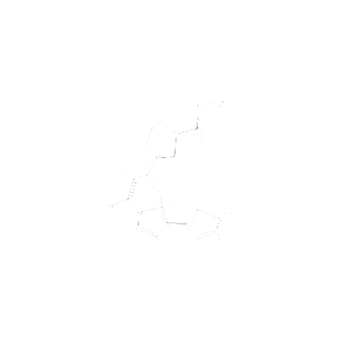 Cn1cc(-c2cnn3c(N)c(Br)c(C4CN(C(=O)OC(C)(C)C)CCO4)nc23)cn1